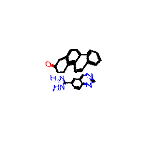 N=C(N)c1ccc2ncncc2c1.O=C1CCc2c(ccc3c2ccc2ccccc23)C1